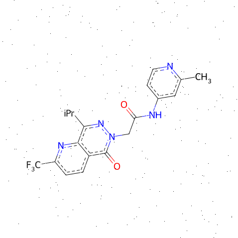 Cc1cc(NC(=O)Cn2nc(C(C)C)c3nc(C(F)(F)F)ccc3c2=O)ccn1